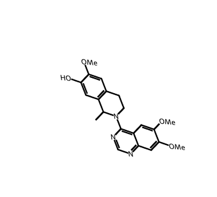 COc1cc2c(cc1O)C(C)N(c1ncnc3cc(OC)c(OC)cc13)CC2